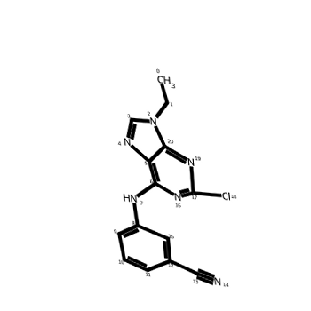 CCn1cnc2c(Nc3cccc(C#N)c3)nc(Cl)nc21